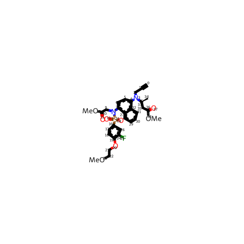 C#CCN(c1ccc(N(CC(=O)OC)S(=O)(=O)c2ccc(OCCOC)c(F)c2)c2ccccc12)[C@@H](C)CC(=O)OC